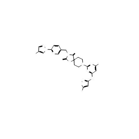 Cc1cc(Nc2cc(C)[nH]n2)nc(N2CCC3(CC2)NC(=S)N([C@@H](C)c2ccc(-n4cc(F)cn4)nc2)C3=O)n1